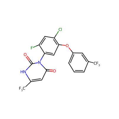 O=c1cc(C(F)(F)F)[nH]c(=O)n1-c1cc(Oc2cccc(C(F)(F)F)c2)c(Cl)cc1F